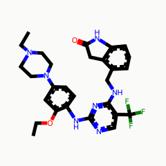 CCOc1cc(N2CCN(CC)CC2)ccc1Nc1ncc(C(F)(F)F)c(NCc2cccc3c2CC(=O)N3)n1